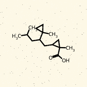 CC(C)CC(CC1CC1(C)C(=O)O)C1(C)CC1